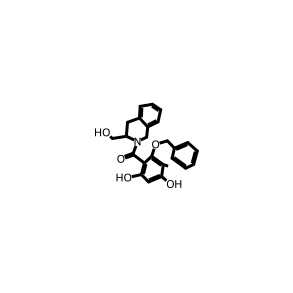 Cc1c(O)cc(O)c(C(=O)N2Cc3ccccc3CC2CO)c1OCc1ccccc1